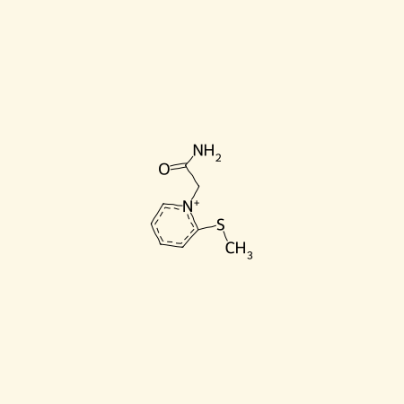 CSc1cccc[n+]1CC(N)=O